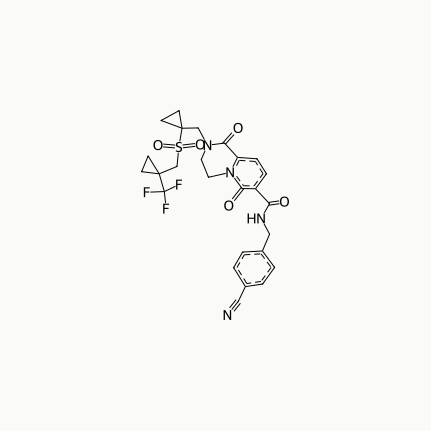 N#Cc1ccc(CNC(=O)c2ccc3n(c2=O)CCN(CC2(S(=O)(=O)CC4(C(F)(F)F)CC4)CC2)C3=O)cc1